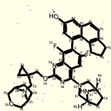 Oc1cc(-c2c(F)cc3c(N4C[C@H]5CC[C@@H](C4)N5)nc(OCC4(CN5C6CCC5COC6)CC4)nc3c2F)c2c3c(ccc2c1)CCC3